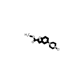 CCOC(=O)c1cc2cc(N3CCN(Cl)CC3)ccc2o1